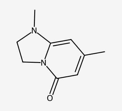 Cc1cc2n(c(=O)c1)CCN2C